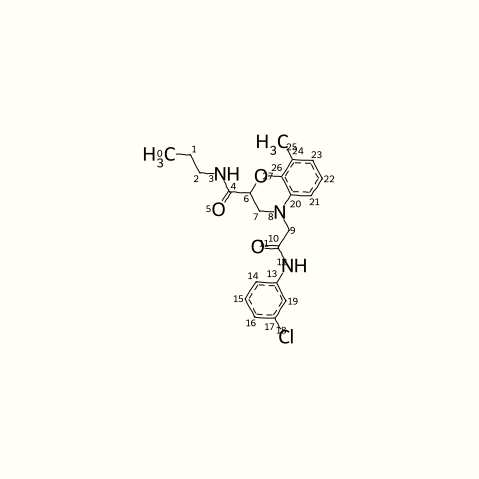 CCCNC(=O)C1CN(CC(=O)Nc2cccc(Cl)c2)c2cccc(C)c2O1